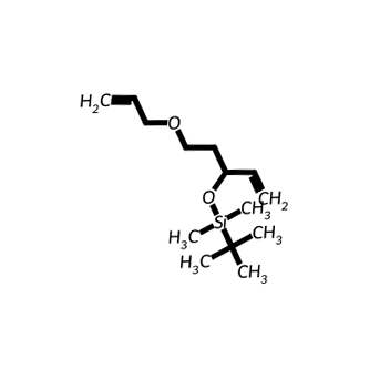 C=CCOCCC(C=C)O[Si](C)(C)C(C)(C)C